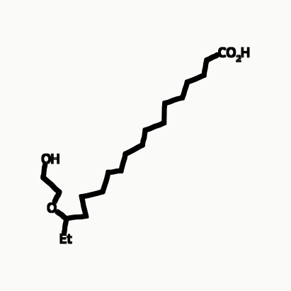 CCC(CCCCCCCCCCCCCCC(=O)O)OCCO